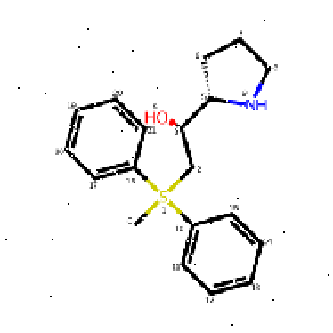 CS(C[C@@H](O)[C@@H]1CCCN1)(c1ccccc1)c1ccccc1